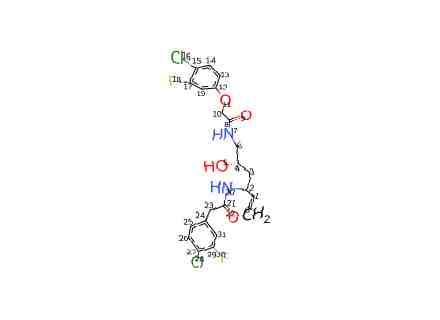 C=CC(C[C@H](O)CNC(=O)COc1ccc(Cl)c(F)c1)NC(=O)Cc1ccc(Cl)c(F)c1